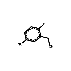 N#CCc1cc(C#N)ccc1F